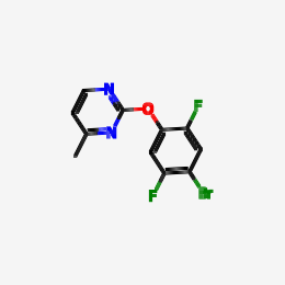 Cc1ccnc(Oc2cc(F)c(Br)cc2F)n1